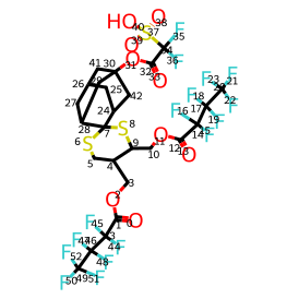 O=C(OCC1CSC2(SC1COC(=O)C(F)(F)C(F)(F)C(F)(F)F)C1CC3CC2CC(OC(=O)C(F)(F)S(=O)(=O)O)(C3)C1)C(F)(F)C(F)(F)C(F)(F)F